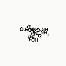 COc1cc([C@@H](Nc2ccc(C(=N)N)cc2)C(=O)NCc2ccccc2)ccc1OCc1ccccc1.O=C(O)C(F)(F)F